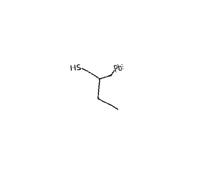 CC[CH](S)[Pb]